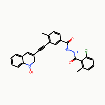 Cc1ccc(C(=O)NNC(=O)c2c(C)cccc2Cl)cc1C#CC1=Cc2ccccc2N(O)C1